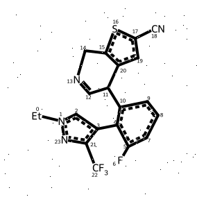 CCn1cc(-c2c(F)cccc2C2C=NCc3sc(C#N)cc32)c(C(F)(F)F)n1